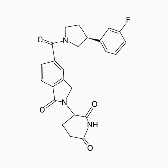 O=C1CCC(N2Cc3cc(C(=O)N4CC[C@@H](c5cccc(F)c5)C4)ccc3C2=O)C(=O)N1